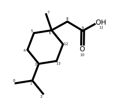 CC(C)C1CCC(C)(CC(=O)O)CC1